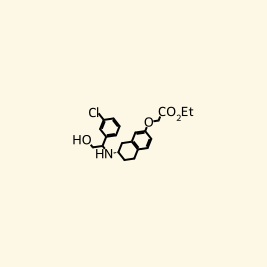 CCOC(=O)COc1ccc2c(c1)C[C@@H](NC(CO)c1cccc(Cl)c1)CC2